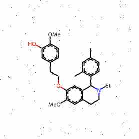 CCN1CCc2cc(OC)c(OCCc3ccc(OC)c(O)c3)cc2C1c1ccc(C)cc1C